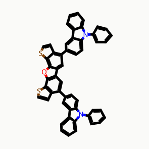 c1ccc(-n2c3ccccc3c3cc(-c4cc5c6cc(-c7ccc8c(c7)c7ccccc7n8-c7ccccc7)c7ccsc7c6oc5c5sccc45)ccc32)cc1